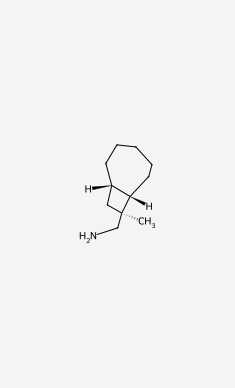 C[C@]1(CN)C[C@@H]2CCCCC[C@@H]21